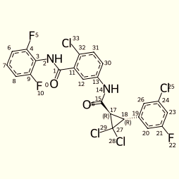 O=C(Nc1c(F)cccc1F)c1cc(NC(=O)[C@H]2[C@H](c3cc(F)cc(Cl)c3)C2(Cl)Cl)ccc1Cl